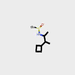 CC(N[S@+]([O-])C(C)(C)C)C(C)C1CCC1